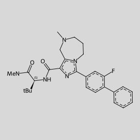 CNC(=O)[C@@H](NC(=O)c1nc(-c2ccc(-c3ccccc3)c(F)c2)n2c1CN(C)CCC2)C(C)(C)C